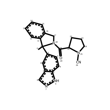 CC1(c2ccc3[nH]ncc3c2)c2ccccc2CN1C(=O)C1CCCN1C#N